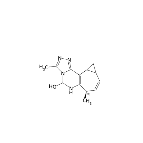 Cc1nnc2n1C(O)NC1=C2C2CC2C=C[C@H]1C